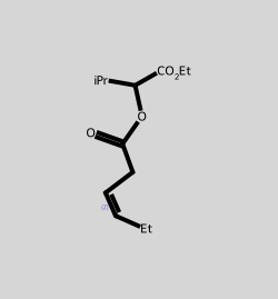 CC/C=C\CC(=O)OC(C(=O)OCC)C(C)C